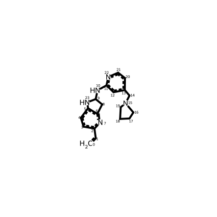 C=Cc1ccc2c(n1)CC(Nc1cc(CN3CCCC3)ccn1)N2